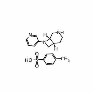 Cc1ccc(S(=O)(=O)O)cc1.c1cncc(N2C[C@H]3CCNC[C@H]32)c1